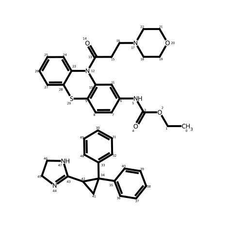 CCOC(=O)Nc1ccc2c(c1)N(C(=O)CCN1CCOCC1)c1ccccc1S2.c1ccc(C2(c3ccccc3)CC2C2=NCCN2)cc1